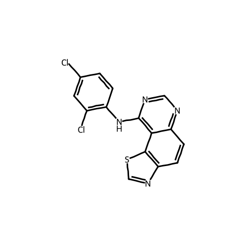 Clc1ccc(Nc2ncnc3ccc4ncsc4c23)c(Cl)c1